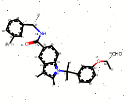 Cc1c(C)n(C(C)(C)c2cccc(O[C@@H](C)C=O)c2)c2ccc(C(=O)N[C@@H](C)c3cccc(C(C)C)c3)cc12